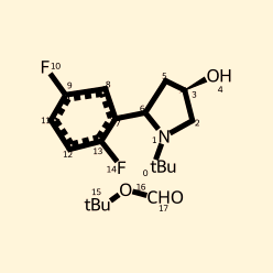 CC(C)(C)N1C[C@H](O)CC1c1cc(F)ccc1F.CC(C)(C)OC=O